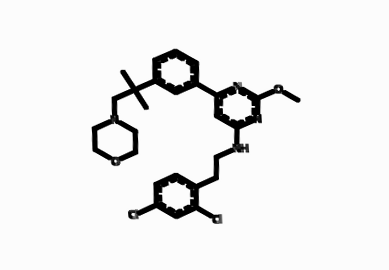 COc1nc(NCCc2ccc(Cl)cc2Cl)cc(-c2cccc(C(C)(C)CN3CCOCC3)c2)n1